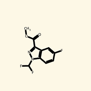 COC(=O)c1nn(C(F)F)c2ccc(F)cc12